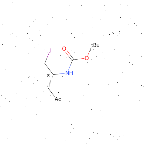 CC(=O)C[C@H](CI)NC(=O)OC(C)(C)C